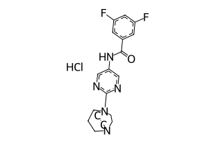 Cl.O=C(Nc1cnc(N2CCN3CCC2CC3)nc1)c1cc(F)cc(F)c1